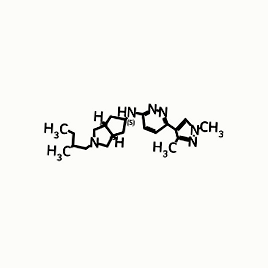 CCC(C)CN1C[C@H]2C[C@H](Nc3ccc(-c4cn(C)nc4C)nn3)C[C@H]2C1